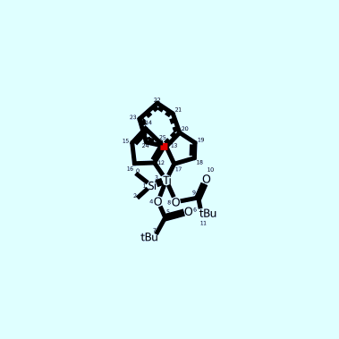 C[Si](C)=[Ti]([O]C(=O)C(C)(C)C)([O]C(=O)C(C)(C)C)([C]1=CC=CC1)[CH]1C=Cc2ccccc21